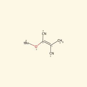 CC(C#N)=C(C#N)OC(C)(C)C